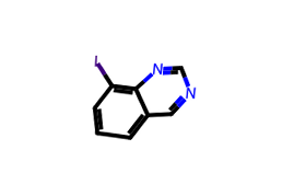 Ic1cccc2cncnc12